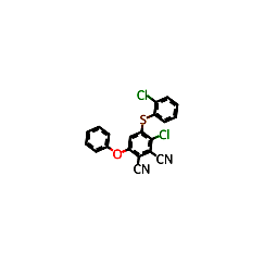 N#Cc1c(Oc2ccccc2)cc(Sc2ccccc2Cl)c(Cl)c1C#N